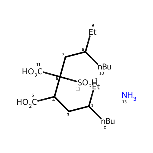 CCCCC(CC)CC(C(=O)O)C(CC(CC)CCCC)(C(=O)O)S(=O)(=O)O.N